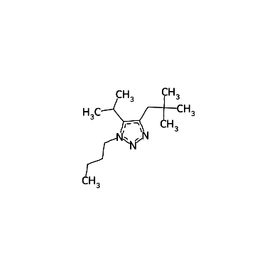 CCCCn1nnc(CC(C)(C)C)c1C(C)C